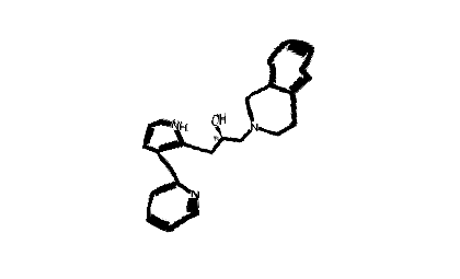 O[C@H](Cc1[nH]ccc1-c1ccccn1)CN1CCc2ccccc2C1